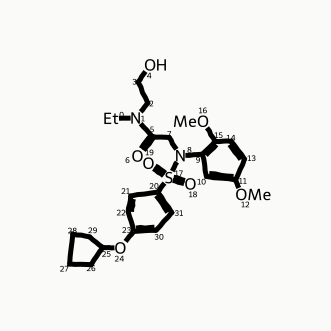 CCN(CCO)C(=O)CN(c1cc(OC)ccc1OC)S(=O)(=O)c1ccc(OC2CCCC2)cc1